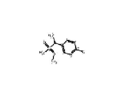 CN=S(C)(=O)C(C)c1ccc(Cl)nc1